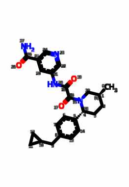 C[C@H]1CC[C@H](c2ccc(CC3CC3)cc2)N(C(=O)C(=O)Nc2cncc(C(N)=O)c2)C1